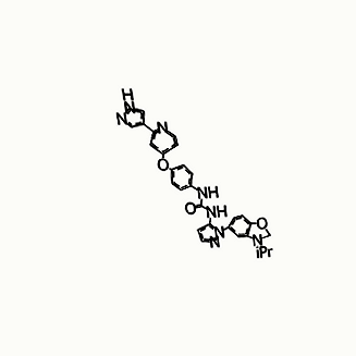 CC(C)N1COc2ccc(-n3nccc3NC(=O)Nc3ccc(Oc4ccnc(-c5cn[nH]c5)c4)cc3)cc21